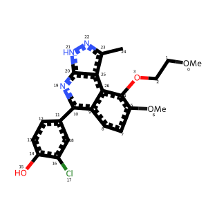 COCCOc1c(OC)ccc2c(-c3ccc(O)c(Cl)c3)nc3[nH]nc(C)c3c12